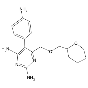 Nc1ccc(-c2c(N)nc(N)nc2COCC2CCCCO2)cc1